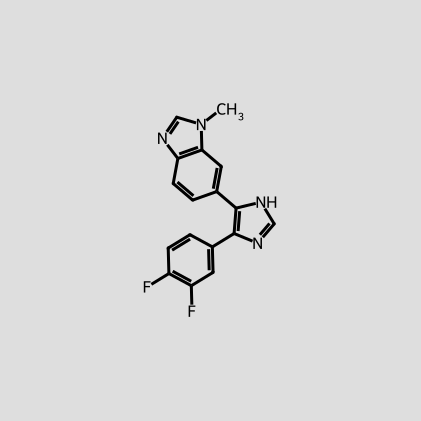 Cn1cnc2ccc(-c3[nH]cnc3-c3ccc(F)c(F)c3)cc21